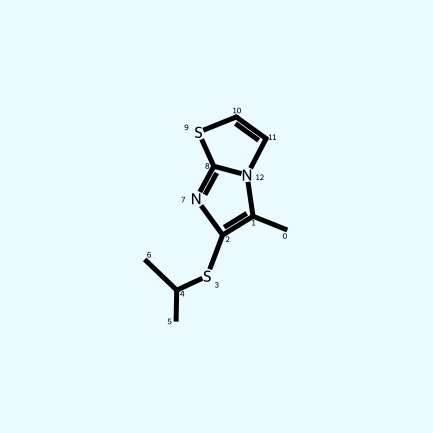 Cc1c(SC(C)C)nc2sccn12